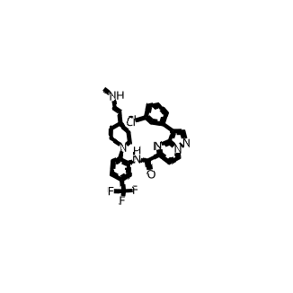 CNCCC1CCN(c2ccc(C(F)(F)F)cc2NC(=O)c2ccn3ncc(-c4cccc(Cl)c4)c3n2)CC1